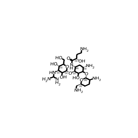 NCC[C@H](O)C(=O)N[C@@H]1C[C@H](N)C(O[C@H]2O[C@H](CN)CCC2N)C(O)[C@H]1O[C@H]1OC(CO)[C@@H](O)[C@H](NC(N)N)C1O